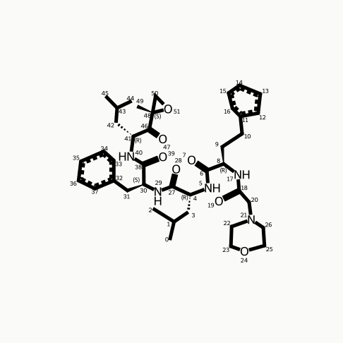 CC(C)C[C@@H](NC(=O)[C@@H](CCc1ccccc1)NC(=O)CN1CCOCC1)C(=O)N[C@@H](Cc1ccccc1)C(=O)N[C@H](CC(C)C)C(=O)[C@]1(C)CO1